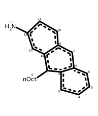 CCCCCCCCc1c2ccccc2cc2ccc(N)cc12